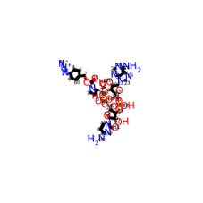 [N-]=[N+]=Nc1ccc(COC(=O)N2CC[C@H]2C(=O)O[C@H]2[C@@H](O)[C@H](n3cnc4c(N)ncnc43)O[C@@H]2COP(=O)(O)O[C@H]2[C@@H](O)[C@H](n3ccc(N)nc3=O)O[C@@H]2COP(=O)(O)O)cc1